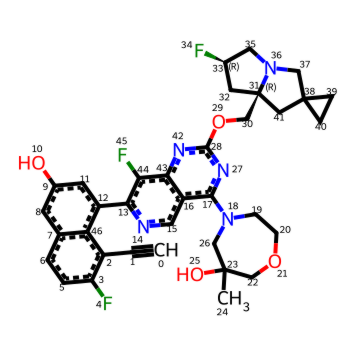 C#Cc1c(F)ccc2cc(O)cc(-c3ncc4c(N5CCOCC(C)(O)C5)nc(OC[C@@]56C[C@@H](F)CN5CC5(CC5)C6)nc4c3F)c12